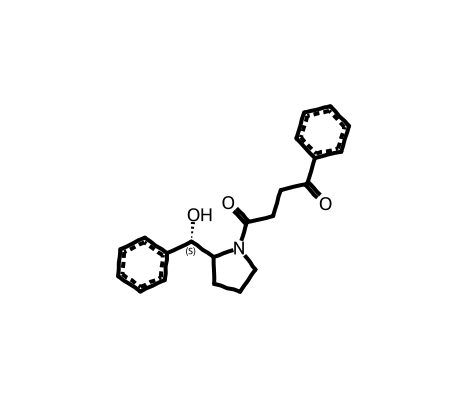 O=C(CCC(=O)N1CCCC1[C@@H](O)c1ccccc1)c1ccccc1